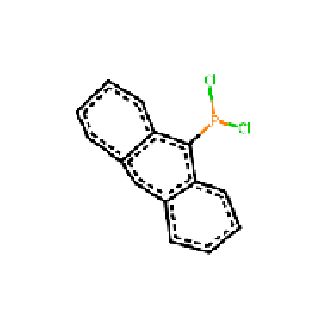 ClP(Cl)c1c2ccccc2cc2ccccc12